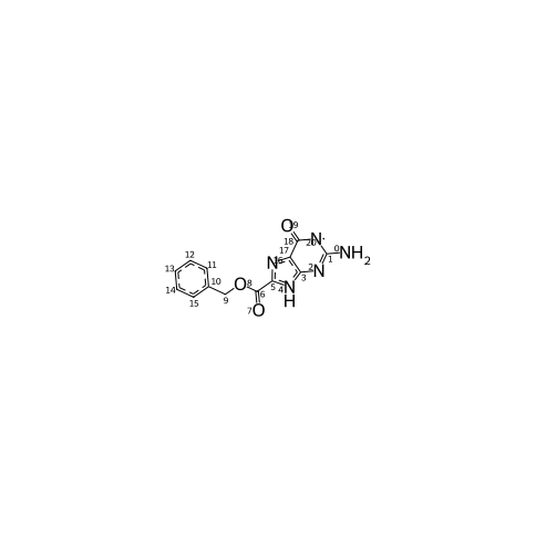 NC1=Nc2[nH]c(C(=O)OCc3ccccc3)nc2C(=O)[N]1